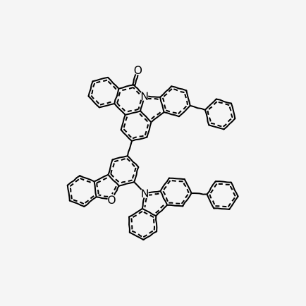 O=c1c2ccccc2c2cc(-c3cc(-n4c5ccccc5c5cc(-c6ccccc6)ccc54)c4oc5ccccc5c4c3)cc3c4cc(-c5ccccc5)ccc4n1c23